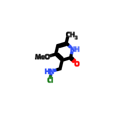 COc1cc(C)[nH]c(=O)c1CNCl